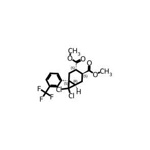 COC(=O)[C@H]1C[C@H]2C(Cl)(Cl)[C@@]2(c2cccc(C(F)(F)F)c2)C[C@@H]1C(=O)OC